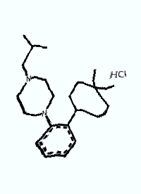 CC(C)CN1CCN(c2ccccc2C2CCC(C)(C)CC2)CC1.Cl